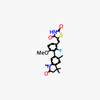 COc1ccc(/C=C2/SC(=O)NC2=O)c(F)c1-c1cc2c(cc1C)C(C)(C)CC(=O)N2C